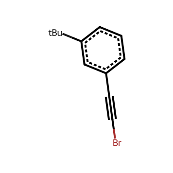 CC(C)(C)c1cccc(C#CBr)c1